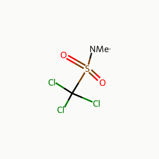 C[N]S(=O)(=O)C(Cl)(Cl)Cl